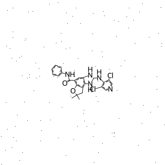 CC1(C)Cc2c3c(cc(C(=O)Nc4ccccc4)c2O1)NC(Nc1c(Cl)cncc1Cl)N3